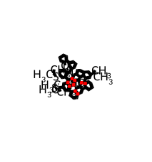 CC(C)Sc1ccc(N(c2cc(N(c3ccc([Si](C)(C)C)cc3-c3ccccc3)c3cccc4c3oc3ccccc34)c3ccc4cc(C(C)C)cc5ccc2c3c54)c2cccc3c2oc2ccccc23)c(-c2ccccc2)c1